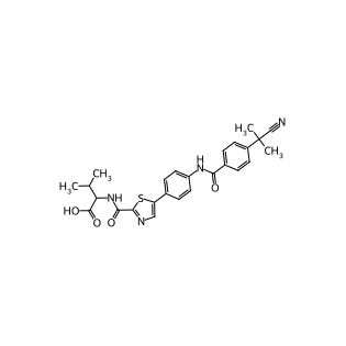 CC(C)C(NC(=O)c1ncc(-c2ccc(NC(=O)c3ccc(C(C)(C)C#N)cc3)cc2)s1)C(=O)O